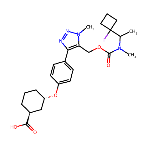 CC(N(C)C(=O)OCc1c(-c2ccc(O[C@H]3CCC[C@H](C(=O)O)C3)cc2)nnn1C)C1(I)CCC1